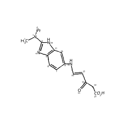 CC(C)N(C)c1nc2ccc(N/C=C/C(=O)CC(=O)O)cc2[nH]1